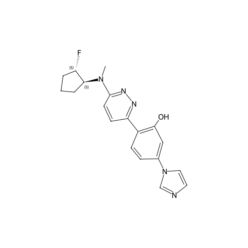 CN(c1ccc(-c2ccc(-n3ccnc3)cc2O)nn1)[C@H]1CCC[C@@H]1F